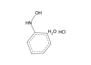 Cl.O.ONc1ccccc1